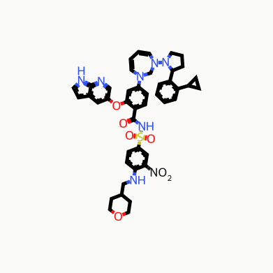 O=C(NS(=O)(=O)c1ccc(NCC2CCOCC2)c([N+](=O)[O-])c1)c1ccc(N2C=CC=CN(N3CCCC3c3ccccc3C3CC3)C2)cc1Oc1cnc2[nH]ccc2c1